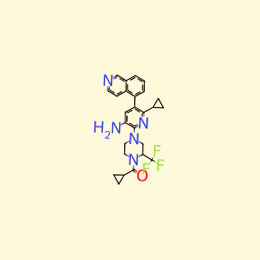 Nc1cc(-c2cccc3cnccc23)c(C2CC2)nc1N1CCN(C(=O)C2CC2)C(C(F)(F)F)C1